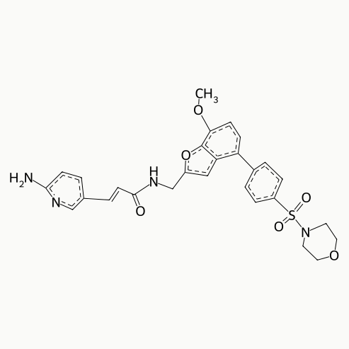 COc1ccc(-c2ccc(S(=O)(=O)N3CCOCC3)cc2)c2cc(CNC(=O)C=Cc3ccc(N)nc3)oc12